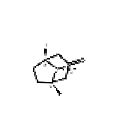 C[C@]12CC[C@H](CC(=O)C1)N2C(=O)O